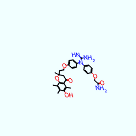 Cc1c(C)c2c(c(C)c1O)C(=O)CC(C)(CCOc1ccc(N(C(=N)N)c3ccc(OCC(N)=O)cc3)cc1)O2